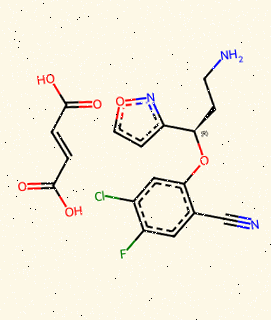 N#Cc1cc(F)c(Cl)cc1O[C@H](CCN)c1ccon1.O=C(O)C=CC(=O)O